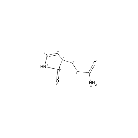 NC(=O)CCC1C=NNC1=O